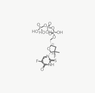 CC1(F)C[C@@H](COP(=O)(O)OP(=O)(O)OP(=O)(O)O)O[C@H]1n1cc(F)c(=O)[nH]c1=S